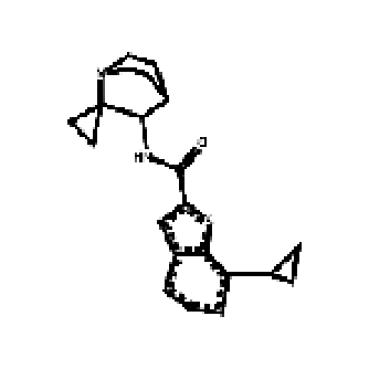 O=C(NC1C2CCN(CC2)C12CC2)c1cc2cccc(C3CC3)c2s1